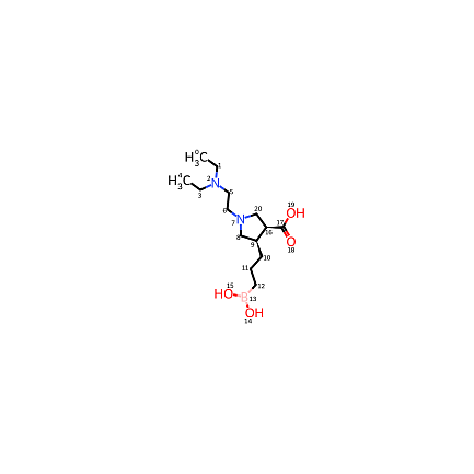 CCN(CC)CCN1C[C@H](CCCB(O)O)[C@H](C(=O)O)C1